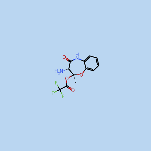 C[C@@]1(OC(=O)C(F)(F)F)Oc2ccccc2NC(=O)[C@H]1N